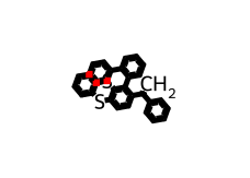 C=C(c1ccccc1)c1ccc2c(c1-c1ccccc1-c1ccccc1)Sc1ccccc1S2